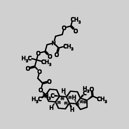 CC(=O)OCCN(CC(=O)OC(C)(C)C(=O)OCC(=O)O[C@]1(C)CC[C@@]2(C)[C@@H](CC[C@@H]3[C@@H]2CC[C@]2(C)[C@@H](C(C)=O)CC[C@@H]32)C1)C(C)=O